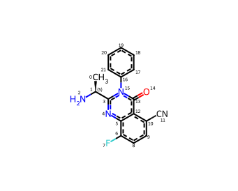 C[C@H](N)c1nc2c(F)ccc(C#N)c2c(=O)n1-c1ccccc1